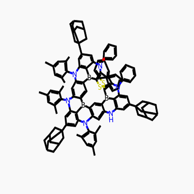 Cc1cc(C)c(N2c3cc4c(cc3B3c5cc6c(cc5N(c5c(C)cc(C)cc5C)c5cc(C78CC9CC(CC(C9)C7)C8)cc2c53)N(c2c(C)cc(C)cc2C)c2cc(C35CC7CC(CC(C7)C3)C5)cc3c2B6c2sc5ccccc5c2N3c2ccccc2)B2c3sc5ccccc5c3N(c3ccccc3)c3cc(C56CC7CC(CC(C7)C5)C6)cc(c32)N4)c(C)c1